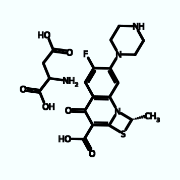 C[C@@H]1Sc2c(C(=O)O)c(=O)c3cc(F)c(N4CCNCC4)cc3n21.NC(CC(=O)O)C(=O)O